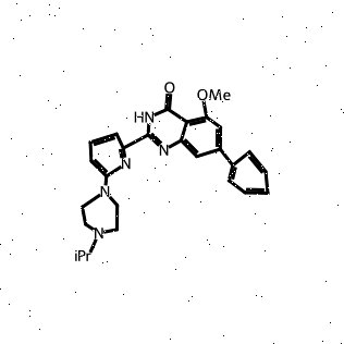 COc1cc(-c2ccccc2)cc2nc(-c3cccc(N4CCN(C(C)C)CC4)n3)[nH]c(=O)c12